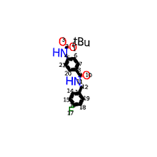 CC(C)(C)OC(=O)Nc1ccc(C(=O)NCc2ccc(F)cc2)cc1